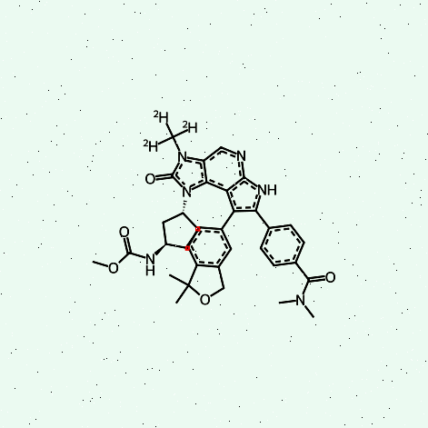 [2H]C([2H])([2H])n1c(=O)n([C@@H]2CC[C@@H](NC(=O)OC)C2)c2c3c(-c4ccc5c(c4)COC5(C)C)c(-c4ccc(C(=O)N(C)C)cc4)[nH]c3ncc21